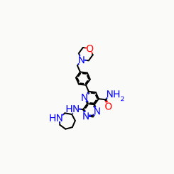 NC(=O)c1cc(-c2ccc(CN3CCOCC3)cc2)nc2c(N[C@@H]3CCCCNC3)ncnc12